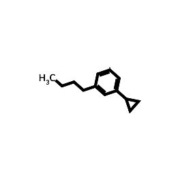 CCCCc1c[c]cc(C2CC2)c1